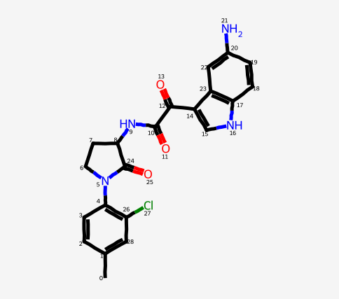 Cc1ccc(N2CCC(NC(=O)C(=O)c3c[nH]c4ccc(N)cc34)C2=O)c(Cl)c1